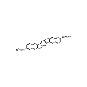 CCCCCc1ccc2cc3c(cc2c1)sc1cc2c(cc13)sc1cc3cc(CCCCC)ccc3cc12